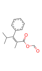 CC(C(=O)OC=O)=C(c1ccccc1)C(C)C